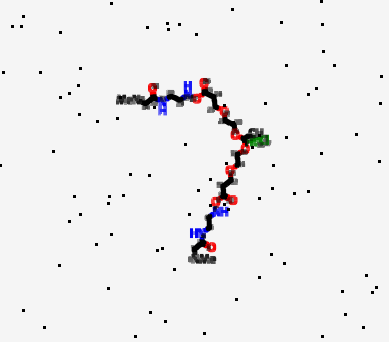 CNCC(=O)NCCNOC(=O)CCOCCOC(C)OCCOCCC(=O)ONCCNC(=O)CNC.Cl.Cl